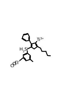 CCCCCC1=[C]([Ti+3])C(c2ccccc2)=C([SiH2]c2cc(C)cc(C)c2)C1.[Cl-].[Cl-].[Cl-]